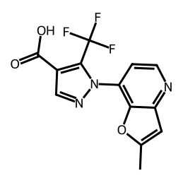 Cc1cc2nccc(-n3ncc(C(=O)O)c3C(F)(F)F)c2o1